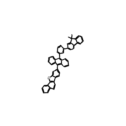 CC1(C)c2ccccc2-c2ccc(-c3cccc(-c4c5ccccc5c(-c5ccc6c(c5)oc5c7ccccc7ccc65)c5ccccc45)c3)cc21